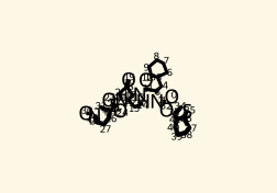 O=C(NC(CC1CCCCC1)C(=O)N1CCC2C1C(=O)CN2S(=O)(=O)c1ccc[n+]([O-])c1)Oc1csc2ccccc12